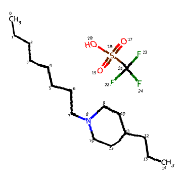 CCCCCCCCN1CCC(CCC)CC1.O=S(=O)(O)C(F)(F)F